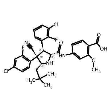 COc1cc(NC(=O)[C@@H]2N[C@@H](CC(C)(C)C)[C@](C#N)(c3ccc(Cl)cc3F)[C@H]2c2cccc(Cl)c2F)ccc1C(=O)O